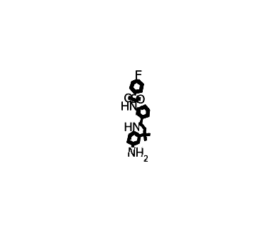 CC1(C)CC(c2cccc(NS(=O)(=O)c3ccc(F)cc3)c2)Nc2ccc(N)cc21